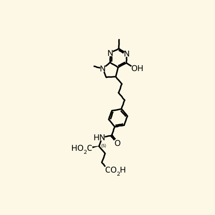 Cc1nc(O)c2c(n1)N(C)CC2CCCc1ccc(C(=O)N[C@@H](CCC(=O)O)C(=O)O)cc1